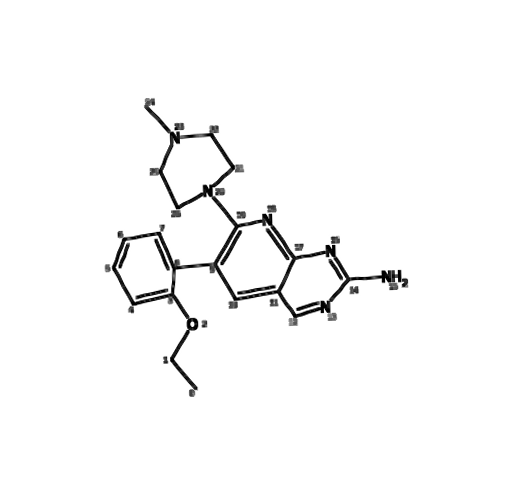 CCOc1ccccc1-c1cc2cnc(N)nc2nc1N1CCN(C)CC1